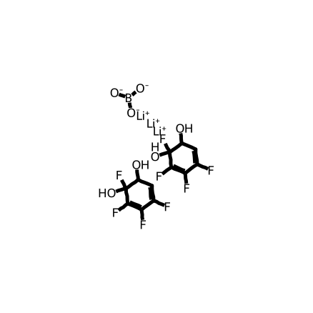 OC1C=C(F)C(F)=C(F)C1(O)F.OC1C=C(F)C(F)=C(F)C1(O)F.[Li+].[Li+].[Li+].[O-]B([O-])[O-]